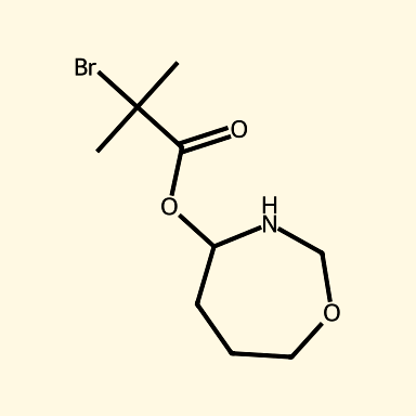 CC(C)(Br)C(=O)OC1CCCOCN1